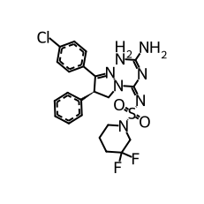 NC(N)=N/C(=N/S(=O)(=O)N1CCCC(F)(F)C1)N1C[C@@H](c2ccccc2)C(c2ccc(Cl)cc2)=N1